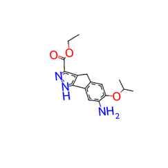 CCOC(=O)c1n[nH]c2c1Cc1cc(OC(C)C)c(N)cc1-2